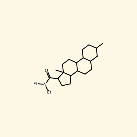 CCN(CC)C(=O)C1CCC2C3CCC4CC(C)CCC4C3CCC12C